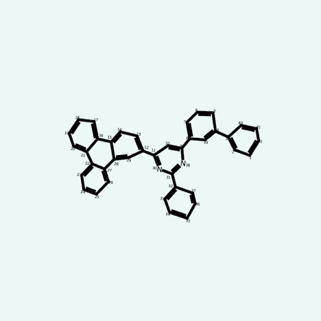 c1ccc(-c2cccc(-c3cc(-c4ccc5c6ccccc6c6ccccc6c5c4)nc(-c4ccccc4)n3)c2)cc1